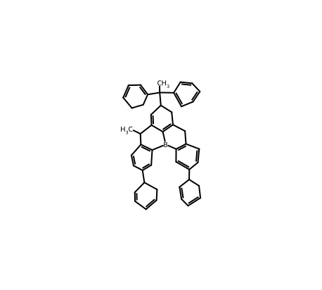 CC1C2=CC(C(C)(C3=CC=CCC3)c3ccccc3)CC3=C2B(c2cc(C4C=CC=CC4)ccc2C3)c2cc(C3C=CC=CC3)ccc21